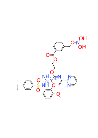 C=C(/N=C(OCCOC(=O)c1cccc(CON(O)O)c1)\C(Oc1ccccc1OC)=C(/N)NS(=O)(=O)c1ccc(C(C)(C)C)cc1)c1ncccn1